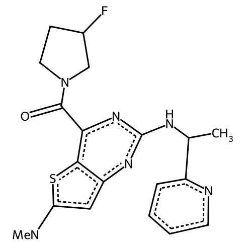 CNc1cc2nc(NC(C)c3ccccn3)nc(C(=O)N3CCC(F)C3)c2s1